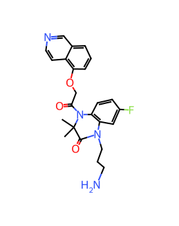 CC1(C)C(=O)N(CCCN)c2cc(F)ccc2N1C(=O)COc1cccc2cnccc12